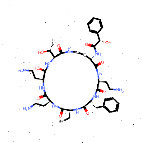 CC(C)C[C@@H]1NC(=O)[C@@H](Cc2ccccc2)NC(=O)[C@H](CCN)NC(=O)[C@@H](NC(=O)[C@@H](O)c2ccccc2)CCNC(=O)[C@H]([C@@H](C)O)NC(O)[C@H](CCN)NC(=O)[C@H](CCN)NC1=O